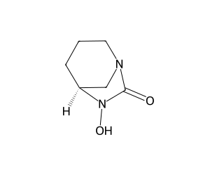 O=C1N2CCC[C@@H](C2)N1O